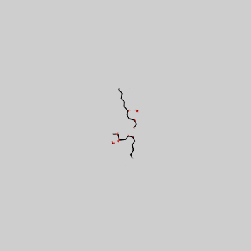 CCCCCCC1CCC(CCOC(CCCCCC)C(O)CC2CCOC(=O)O2)OC(=O)O1